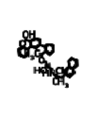 C[C@@H](OC[C@H](O)CNC(C)(C)Cc1ccc2ccccc2c1)c1ccccc1-c1ccc(C(=O)O)c(-c2ccccc2)c1